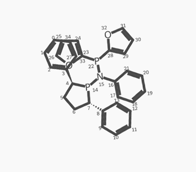 c1ccc([C@@H]2CC[C@@H](c3ccccc3)P2N(c2ccccc2)P(c2ccco2)c2ccco2)cc1